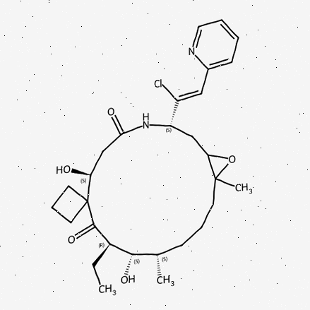 CC[C@H]1C(=O)C2(CCC2)[C@@H](O)CC(=O)N[C@H](C(Cl)=Cc2ccccn2)CC2OC2(C)CCC[C@H](C)[C@@H]1O